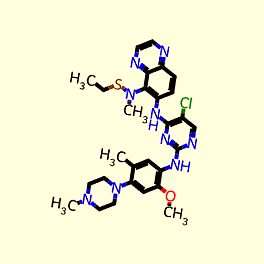 CCSN(C)c1c(Nc2nc(Nc3cc(C)c(N4CCN(C)CC4)cc3OC)ncc2Cl)ccc2nccnc12